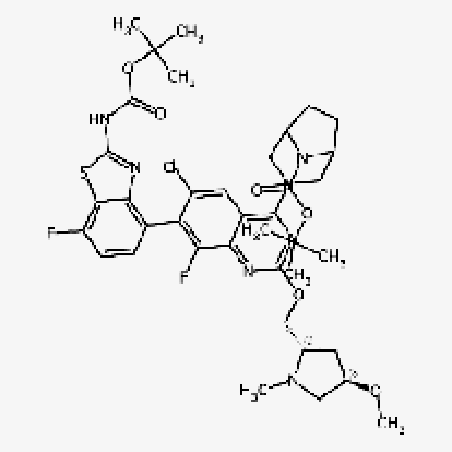 CO[C@@H]1C[C@@H](COc2nc(N3CC4CCC(C3)N4C(=O)OC(C)(C)C)c3cc(Cl)c(-c4ccc(F)c5sc(NC(=O)OC(C)(C)C)nc45)c(F)c3n2)N(C)C1